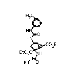 CCOC(=O)C1C2C(NC(=O)Nc3cccc(C)c3)CC(NC(=O)OC(C)(C)C)(C(=O)OCC)C12